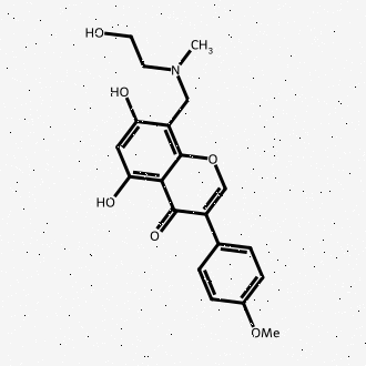 COc1ccc(-c2coc3c(CN(C)CCO)c(O)cc(O)c3c2=O)cc1